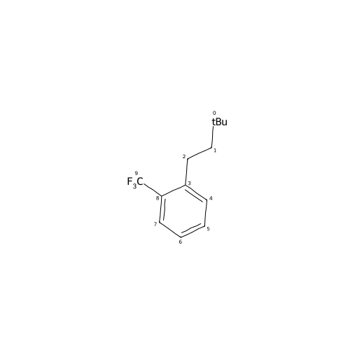 CC(C)(C)CCc1ccccc1C(F)(F)F